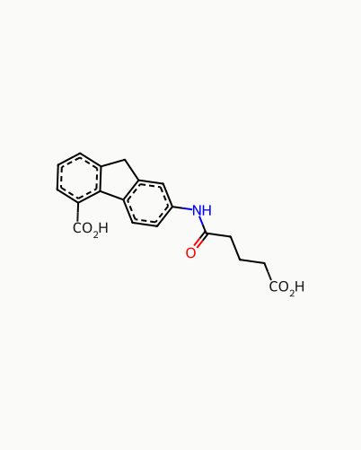 O=C(O)CCCC(=O)Nc1ccc2c(c1)Cc1cccc(C(=O)O)c1-2